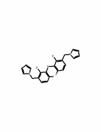 Fc1ccc(Cn2cccc2)c(F)[c]1[Ti][c]1c(F)ccc(Cn2cccc2)c1F